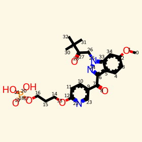 COc1ccc2c(C(=O)c3ccc(OCCCOP(=O)(O)O)nc3)nn(CC(=O)C(C)(C)C)c2c1